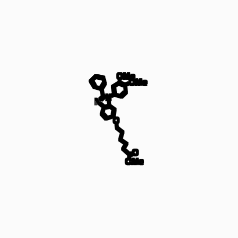 COC(=O)CCCCCOc1ccc2nc(-c3ccccc3)n(-c3ccc(OC)c(OC)c3)c2c1